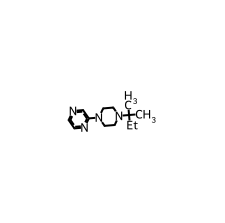 CCC(C)(C)N1CCN(c2cnccn2)CC1